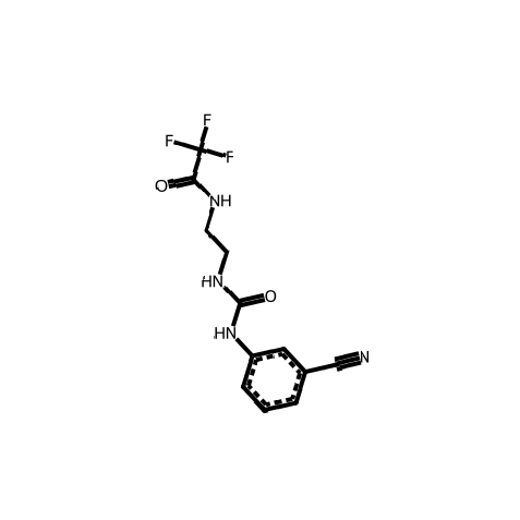 N#Cc1cccc(NC(=O)NCCNC(=O)C(F)(F)F)c1